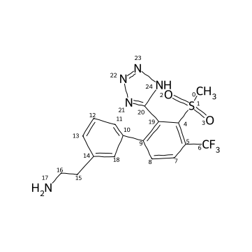 CS(=O)(=O)c1c(C(F)(F)F)ccc(-c2cccc(CCN)c2)c1-c1nnn[nH]1